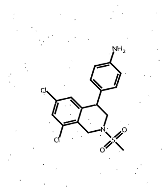 CS(=O)(=O)N1Cc2c(Cl)cc(Cl)cc2C(c2ccc(N)cc2)C1